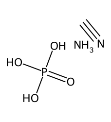 C#N.N.O=P(O)(O)O